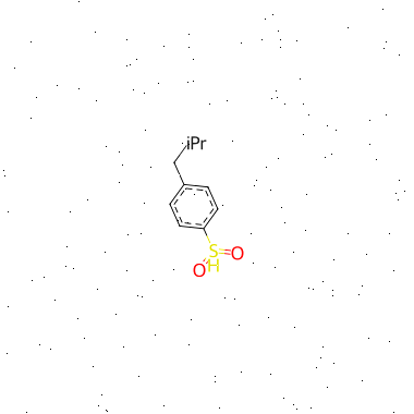 CC(C)Cc1ccc([SH](=O)=O)cc1